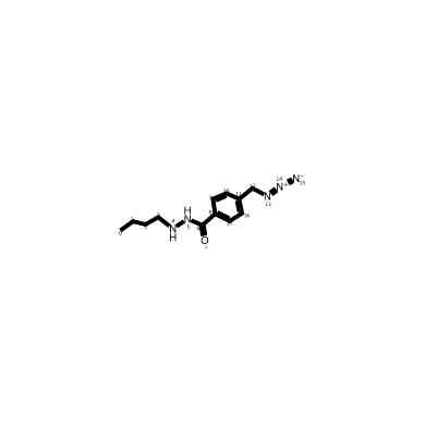 CCCCNNC(=O)c1ccc(CN=[N+]=[N-])cc1